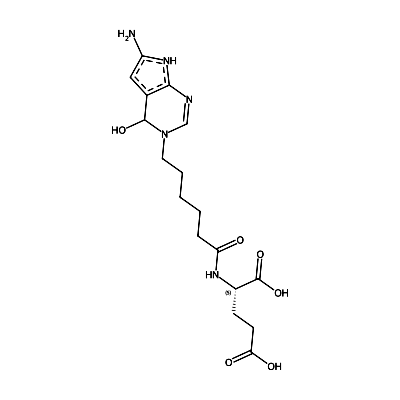 Nc1cc2c([nH]1)N=CN(CCCCCC(=O)N[C@@H](CCC(=O)O)C(=O)O)C2O